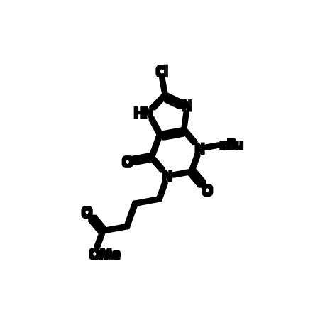 CCCCn1c(=O)n(CCCC(=O)OC)c(=O)c2[nH]c(Cl)nc21